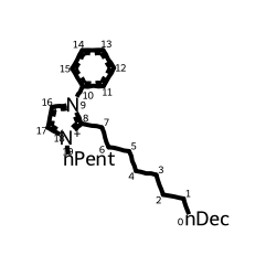 CCCCCCCCCCCCCCCCCc1n(-c2ccccc2)cc[n+]1CCCCC